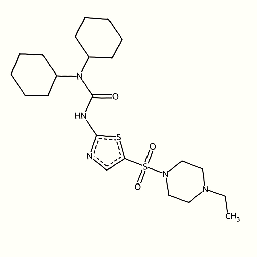 CCN1CCN(S(=O)(=O)c2cnc(NC(=O)N(C3CCCCC3)C3CCCCC3)s2)CC1